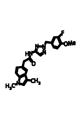 COc1ccc(Cn2ncc(NC(=O)Cc3ccc4c(c3)c(C)cn4C)n2)cc1F